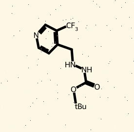 CC(C)(C)OC(=O)NNCc1ccncc1C(F)(F)F